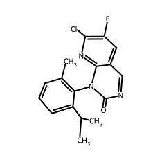 Cc1cccc(C(C)C)c1-n1c(=O)ncc2cc(F)c(Cl)nc21